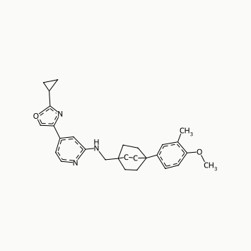 COc1ccc(C23CCC(CNc4cc(-c5coc(C6CC6)n5)ccn4)(CC2)CC3)cc1C